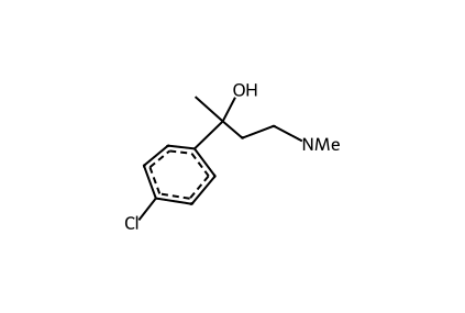 CNCCC(C)(O)c1ccc(Cl)cc1